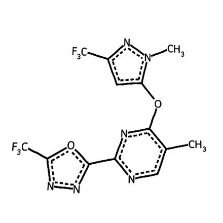 Cc1cnc(-c2nnc(C(F)(F)F)o2)nc1Oc1cc(C(F)(F)F)nn1C